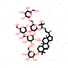 C[C@H](CC[C@@H](O[C@@H]1O[C@H](CO[C@H]2O[C@H](CO)[C@@H](O)[C@H](O)[C@H]2O)[C@@H](O[C@H]2O[C@H](CO)[C@@H](O)[C@H](O)[C@H]2O)[C@H](O)[C@H]1O[C@@H]1O[C@H](CO)[C@@H](O)[C@H](O)[C@H]1O)C(C)(C)O)C1CC[C@@]2(C)C3CC=C4C(CC[C@H](O[C@@H]5O[C@H](CO)[C@@H](O)[C@H](O)[C@H]5O)C4(C)C)[C@]3(C)[C@H](O)C[C@]12C